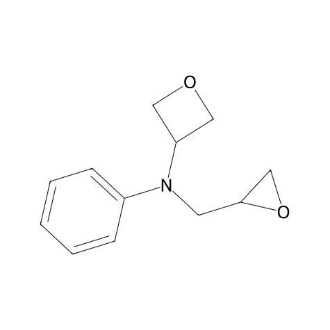 c1ccc(N(CC2CO2)C2COC2)cc1